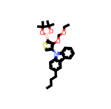 CCCCc1ccc2c(c1)c1ccccc1n2-c1csc(B2OC(C)(C)C(C)(C)O2)c1OCOCC